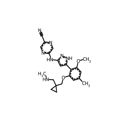 CNCC1(COc2cc(C)cc(OC)c2-c2cc(Nc3cnc(C#N)cn3)n[nH]2)CC1